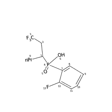 CCCC(CC(F)(F)F)P(=O)(O)c1ccccc1F